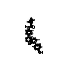 O=C(Nc1ccc(N2CCCC3(CCN([C@H]4CC[C@H](O)CC4)C3=O)C2)nc1)C1CCC1